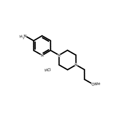 COCCN1CCN(c2ccc(N)cn2)CC1.Cl